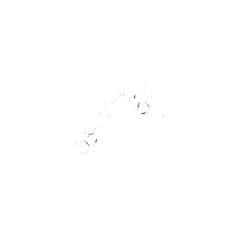 COc1cc(C)c(C(=O)NC(CCO[C@H]2C[C@@H](CCc3ccc4c(n3)NCCC4)C2)C(=O)O)c(C)c1